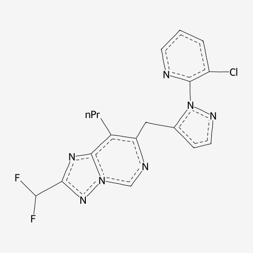 CCCc1c(Cc2ccnn2-c2ncccc2Cl)ncn2nc(C(F)F)nc12